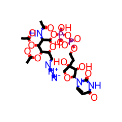 CC(=O)NC1C(OP(=O)(O)OP(=O)(O)OCCC2(O)CO[C@@H](n3ccc(=O)[nH]c3=O)C2O)OC(CN=[N+]=[N-])C(OC(C)=O)C1OC(C)=O